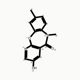 Cc1ccc2c(c1)Oc1ncc(O)cc1C(=O)N2C